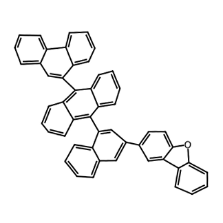 c1ccc2c(-c3c4ccccc4c(-c4cc5ccccc5c5ccccc45)c4ccccc34)cc(-c3ccc4oc5ccccc5c4c3)cc2c1